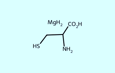 NC(CS)C(=O)O.[MgH2]